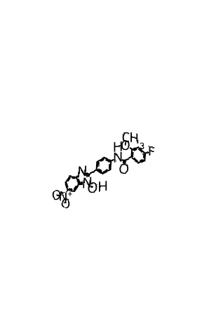 COc1cc(F)ccc1C(=O)Nc1ccc(-c2nc3ccc([N+](=O)[O-])cc3n2O)cc1